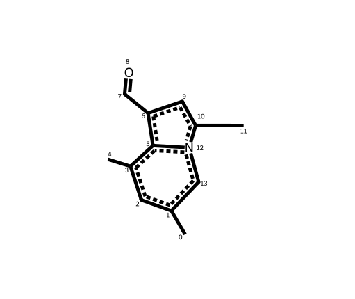 Cc1cc(C)c2c(C=O)cc(C)n2c1